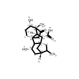 CC1C[C@]23C[C@H]1C[C@H](O)C2[C@]12CC[C@H](O)[C@](C)(C(=O)C1)[C@H]2[C@@H]3C(=O)O